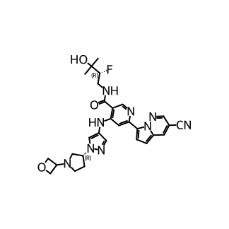 CC(C)(O)[C@H](F)CNC(=O)c1cnc(-c2ccc3cc(C#N)cnn23)cc1Nc1cnn([C@@H]2CCN(C3COC3)C2)c1